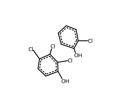 Oc1ccc(Cl)c(Cl)c1Cl.Oc1ccccc1Cl